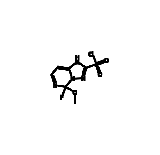 COC1(F)N=CC=C2NC(S(=O)(=O)Cl)=NN21